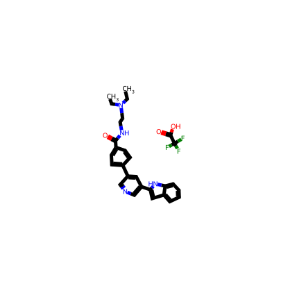 CCN(CC)CCNC(=O)c1ccc(-c2cncc(-c3cc4ccccc4[nH]3)c2)cc1.O=C(O)C(F)(F)F